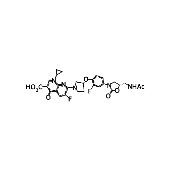 CC(=O)NC[C@H]1CN(c2ccc(O[C@@H]3CCN(c4nc5c(cc4F)c(=O)c(C(=O)O)cn5C4CC4)C3)c(F)c2)C(=O)O1